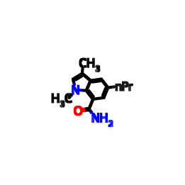 CCCc1cc(C(N)=O)c2c(c1)c(C)cn2C